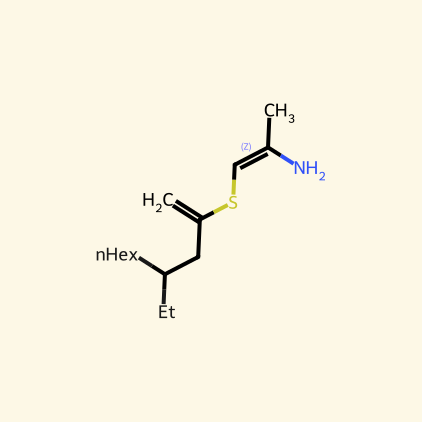 C=C(CC(CC)CCCCCC)S/C=C(/C)N